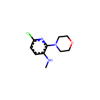 CNc1ccc(Cl)nc1N1CCOCC1